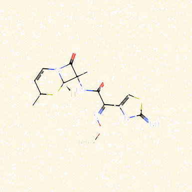 CCCCCCON=C(C(=O)NC1(C(=O)O)C(=O)N2C=CC(C)S[C@H]21)c1csc(=N)[nH]1